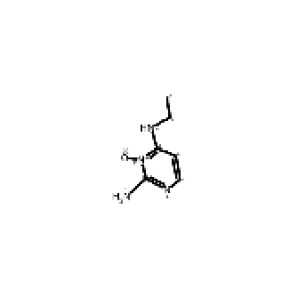 CCNc1ccnc(N)[n+]1[O-]